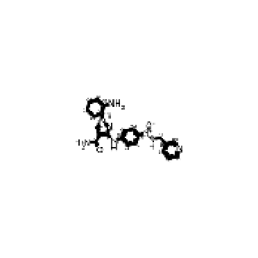 C[C@]1(n2cc(C(N)=O)c(Nc3ccc([S+]([O-])NCc4cccnc4)cc3)n2)CCCCC1N